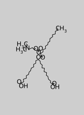 CCCCCCCCCCCCC(CCC(=O)OC(CCCCCCCCCCCCC(=O)O)CCCCCCCCCCCCC(=O)O)OC(=O)OCCCN(C)CC